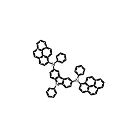 c1ccc(N(c2ccc3c(c2)c2cc(N(c4ccccc4)c4ccc5ccc6cccc7ccc4c5c67)ccc2n3-c2ccccc2)c2ccc3ccc4cccc5ccc2c3c45)cc1